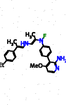 CCc1ccc(/C(C)=C/N/C=C(\C)N(F)c2ccc(-c3c(OC)ccnc3N)cc2)cc1